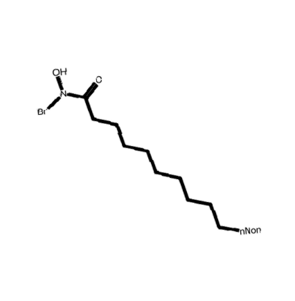 CCCCCCCCCCCCCCCCCCC(=O)N(O)Br